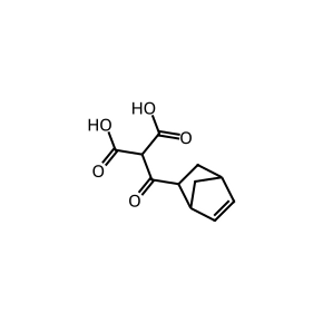 O=C(O)C(C(=O)O)C(=O)C1CC2C=CC1C2